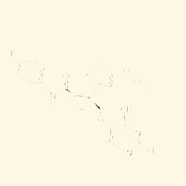 COC1=CC([C@]2(COc3cnc(C)nc3C)C[C@H]2C(=O)Nc2ccc(F)cc2)CC=C1